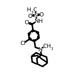 CN(Cc1ccc(C(=O)NS(C)(=O)=O)cc1Cl)C12CC3CC(CC(C3)C1)C2